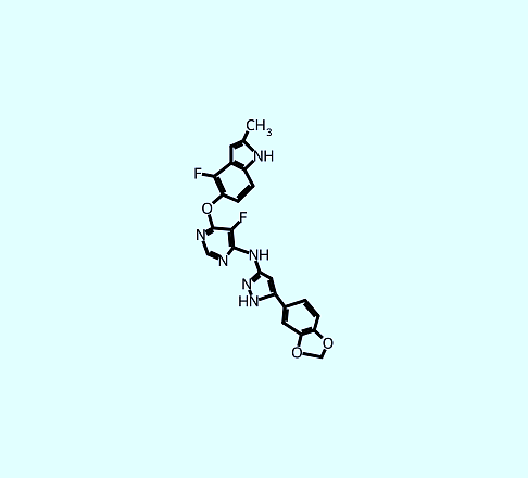 Cc1cc2c(F)c(Oc3ncnc(Nc4cc(-c5ccc6c(c5)OCO6)[nH]n4)c3F)ccc2[nH]1